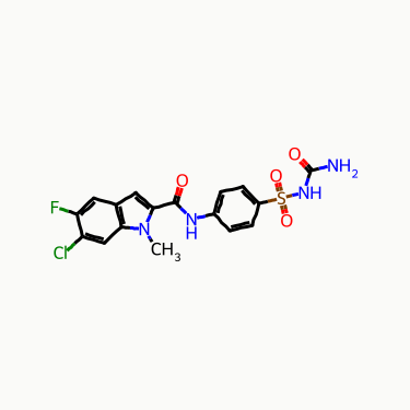 Cn1c(C(=O)Nc2ccc(S(=O)(=O)NC(N)=O)cc2)cc2cc(F)c(Cl)cc21